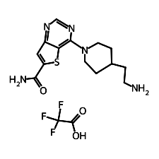 NCCC1CCN(c2ncnc3cc(C(N)=O)sc23)CC1.O=C(O)C(F)(F)F